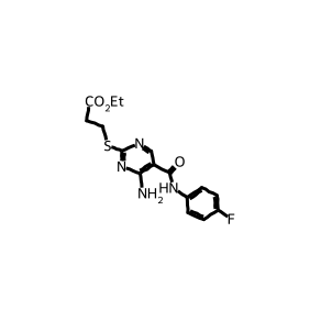 CCOC(=O)CCSc1ncc(C(=O)Nc2ccc(F)cc2)c(N)n1